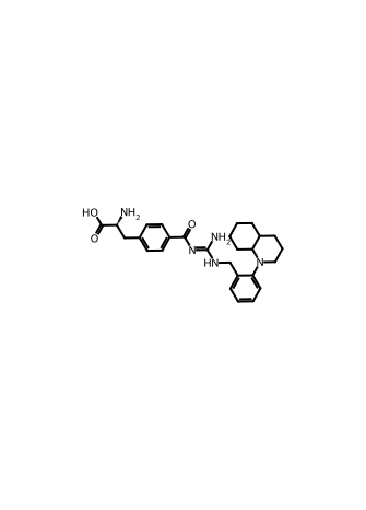 N/C(=N\C(=O)c1ccc(C[C@H](N)C(=O)O)cc1)NCc1ccccc1N1CCCC2CCCCC21